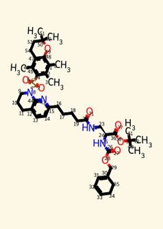 Cc1c(C)c(S(=O)(=O)N2CCCc3ccc(CCCCC(=O)NC[C@H](NC(=O)OCC4=CC=CCC4)C(=O)OC(C)(C)C)nc32)c(C)c2c1OC(C)(C)CC2